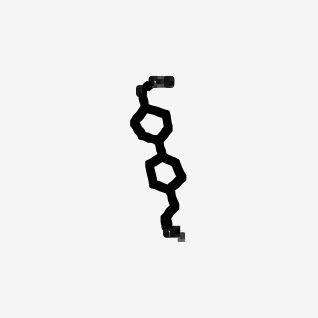 C=CCC1CCC(C2CCC(OC=O)CC2)CC1